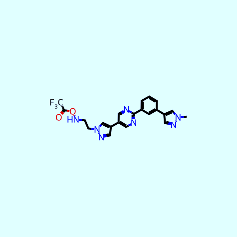 Cn1cc(-c2cccc(-c3ncc(-c4cnn(CCNOC(=O)C(F)(F)F)c4)cn3)c2)cn1